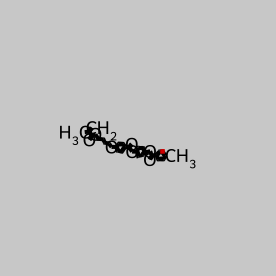 C=C(C)C(=O)OCCCCOc1ccc(C(=O)OC2=CC=C(OC(=O)c3ccc(C)cc3)CC2)cc1